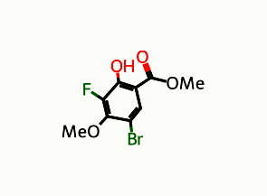 COC(=O)c1cc(Br)c(OC)c(F)c1O